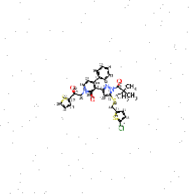 CC(C)(C)C(=O)n1nc(-c2c(-c3ccccc3)ccn(CC(=O)c3cccs3)c2=O)cc1SCc1ccc(Cl)s1